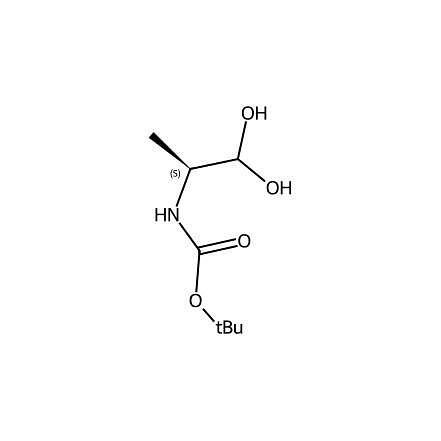 C[C@H](NC(=O)OC(C)(C)C)C(O)O